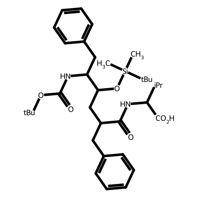 CC(C)C(NC(=O)C(Cc1ccccc1)CC(O[Si](C)(C)C(C)(C)C)C(Cc1ccccc1)NC(=O)OC(C)(C)C)C(=O)O